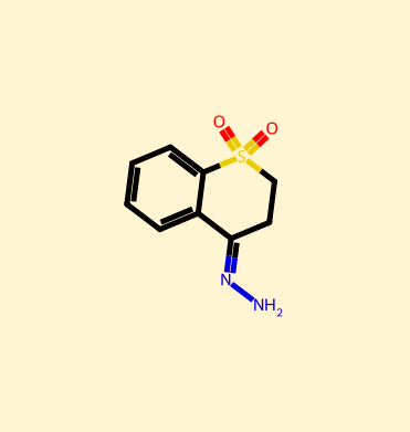 NN=C1CCS(=O)(=O)c2ccccc21